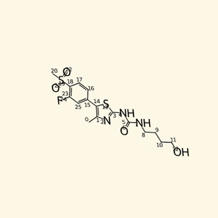 Cc1nc(NC(=O)NCCCCO)sc1-c1ccc(S(C)(=O)=O)c(F)c1